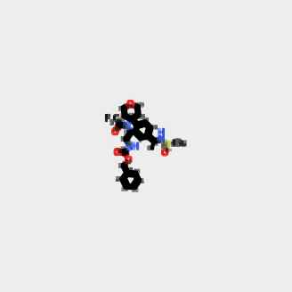 C[C@H](N[S@+]([O-])C(C)(C)C)c1ccc(C2(N(CCNC(=O)OCc3ccccc3)C(=O)C(F)(F)F)CCOCC2)cc1